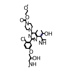 CNC[C@@H](O)COc1ccc(Cl)c(-c2nc(/C(C(C)=N)=C(\C)O)c(C)c(N3CCN(C(=O)OCCOC)CC3)n2)c1